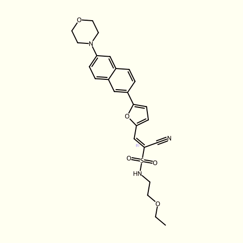 CCOCCNS(=O)(=O)/C(C#N)=C/c1ccc(-c2ccc3cc(N4CCOCC4)ccc3c2)o1